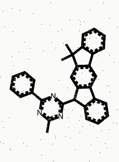 Cc1nc(-c2ccccc2)nc(C2c3ccccc3-c3cc4c(cc32)C(C)(C)c2ccccc2-4)n1